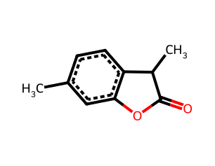 Cc1ccc2c(c1)OC(=O)C2C